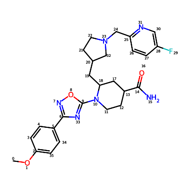 COc1ccc(-c2noc(N3CCC(C(N)=O)CC3CC3CCN(Cc4ccc(F)cn4)C3)n2)cc1